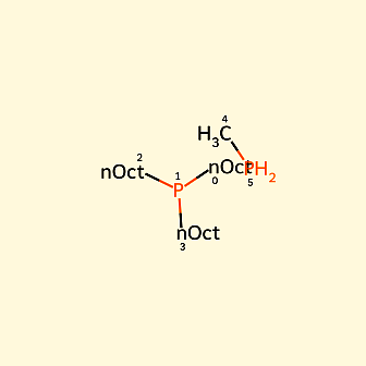 CCCCCCCCP(CCCCCCCC)CCCCCCCC.CP